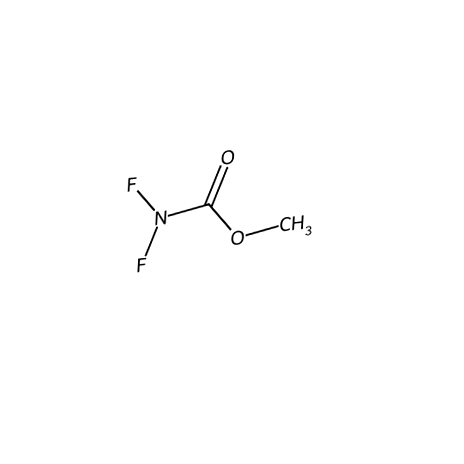 COC(=O)N(F)F